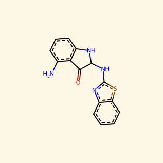 Nc1cccc2c1C(=O)C(Nc1nc3ccccc3s1)N2